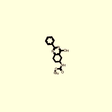 CC(C)(C)OC(=O)NC1CCc2nc(-c3ccccc3)nc(O)c2C1